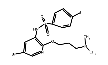 CN(C)CCCOc1ncc(Br)cc1NS(=O)(=O)c1ccc(F)cc1